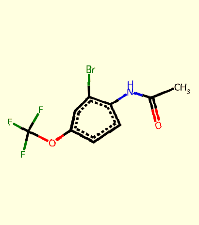 CC(=O)Nc1ccc(OC(F)(F)F)cc1Br